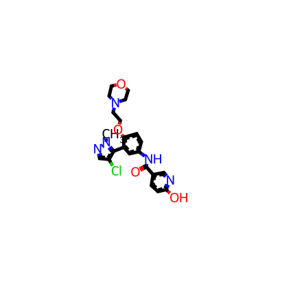 Cn1ncc(Cl)c1-c1cc(NC(=O)c2ccc(O)nc2)ccc1OCCN1CCOCC1